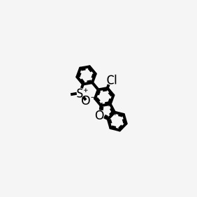 C[S+]([O-])c1ccccc1-c1cc2oc3ccccc3c2cc1Cl